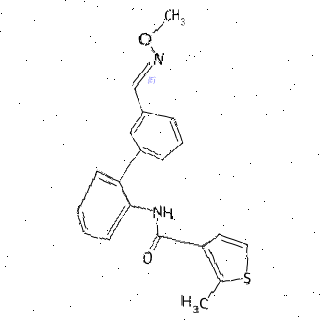 CO/N=C/c1cccc(-c2ccccc2NC(=O)c2ccsc2C)c1